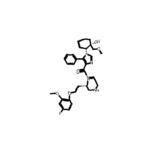 COC[C@]1(O)CCCC[C@H]1n1cnc(C(=O)N2CCNC[C@H]2CCOc2ccc(F)cc2OC)c1-c1ccccc1